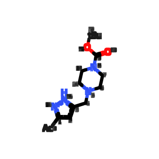 CC(=O)c1cc(CN2CCN(C(=O)OC(C)(C)C)CC2)[nH]n1